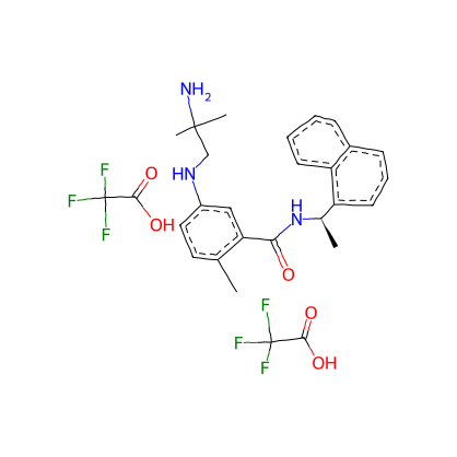 Cc1ccc(NCC(C)(C)N)cc1C(=O)N[C@H](C)c1cccc2ccccc12.O=C(O)C(F)(F)F.O=C(O)C(F)(F)F